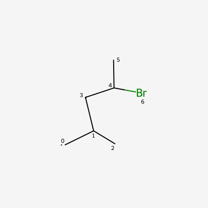 [CH2]C(C)CC(C)Br